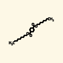 CCCCCCCCCOC(=O)C1CCC(C(=O)OCCCCCCCC)CC1